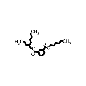 CCCCCCOC(=O)c1cccc(C(=O)OCC(CCC)CCCCC)c1